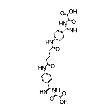 N=C(NC(=O)C(=O)O)c1ccc(NC(=O)CCCC(=O)Nc2ccc(C(=N)NC(=O)C(=O)O)cc2)cc1